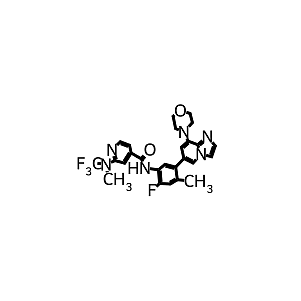 Cc1cc(F)c(NC(=O)c2ccnc(N(C)C(F)(F)F)c2)cc1-c1cc(N2CCOCC2)c2nccn2c1